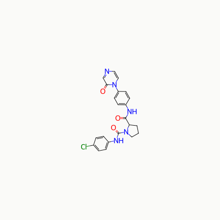 O=C(Nc1ccc(-n2ccncc2=O)cc1)C1CCCN1C(=O)Nc1ccc(Cl)cc1